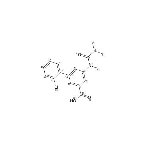 CC(C)C(=O)N(C)c1cc(C(=O)O)cc(-c2ccccc2Cl)c1